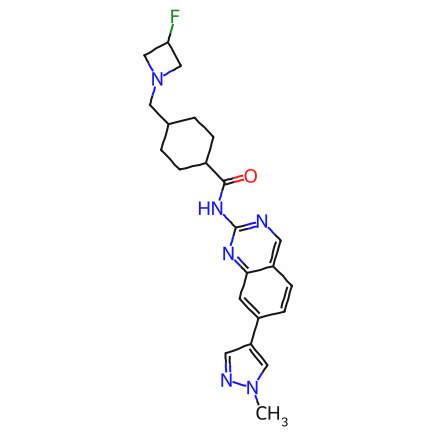 Cn1cc(-c2ccc3cnc(NC(=O)C4CCC(CN5CC(F)C5)CC4)nc3c2)cn1